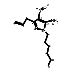 C=CCc1nn(CCCCCC)c(N)c1N=O